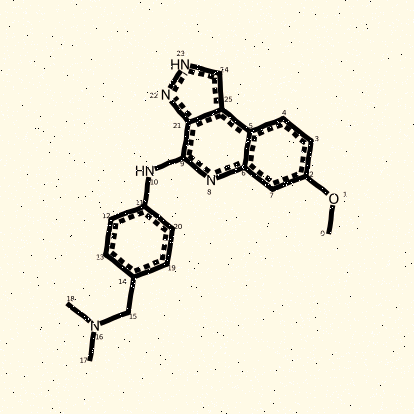 COc1ccc2c(c1)nc(Nc1ccc(CN(C)C)cc1)c1n[nH]cc12